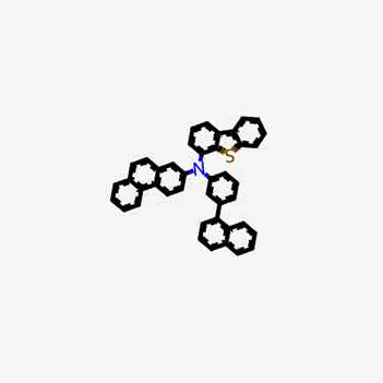 c1cc(-c2cccc3ccccc23)cc(N(c2ccc3c(ccc4ccccc43)c2)c2cccc3c2sc2ccccc23)c1